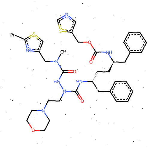 CC(C)c1nc(CN(C)C(=O)NN(CCN2CCOCC2)C(=O)N[C@H](CC[C@H](Cc2ccccc2)NC(=O)OCc2cncs2)Cc2ccccc2)cs1